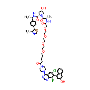 Cc1ncsc1-c1ccc([C@H](C)NC(=O)[C@@H]2C[C@@H](O)CN2C(=O)[C@@H](NC(=O)COCCOCCOCCOCCCCC(=O)N2CCN(c3ncnc4c(F)c(-c5cc(O)cc6ccccc56)c(Cl)cc34)CC2)C(C)(C)C)cc1